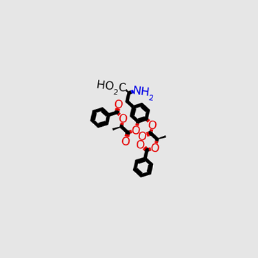 C[C@@H](OC(=O)c1ccccc1)C(=O)Oc1ccc(C[C@H](N)C(=O)O)cc1OC(=O)[C@@H](C)OC(=O)c1ccccc1